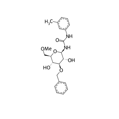 COC[C@H]1O[C@@H](NC(=O)Nc2cccc(C)c2)[C@H](O)[C@@H](OCc2ccccc2)[C@@H]1O